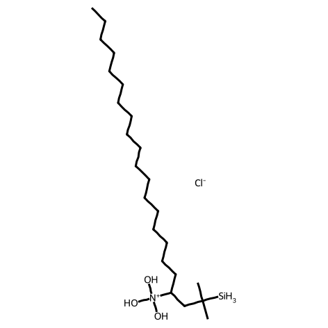 CCCCCCCCCCCCCCCCCCC(CC(C)(C)[SiH3])[N+](O)(O)O.[Cl-]